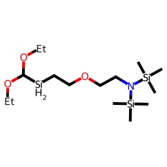 CCOC(OCC)[SiH2]CCOCCN([Si](C)(C)C)[Si](C)(C)C